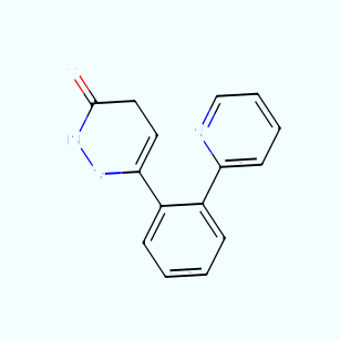 O=C1CC=C(c2ccccc2-c2ccccn2)NN1